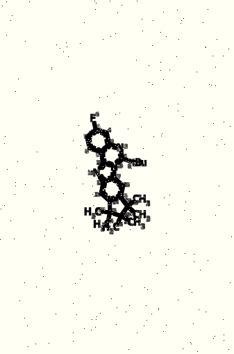 CC(C)(C)c1nc2cc(F)ccc2c2nc3cc4c(cc3n12)C(C)(C)C(C)(C)C4(C)C